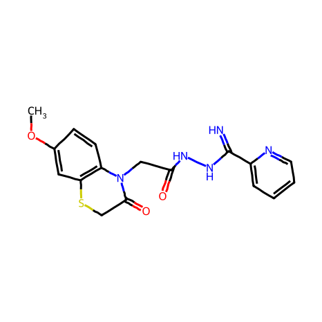 COc1ccc2c(c1)SCC(=O)N2CC(=O)NNC(=N)c1ccccn1